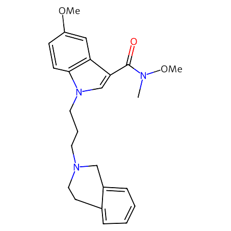 COc1ccc2c(c1)c(C(=O)N(C)OC)cn2CCCN1CCc2ccccc2C1